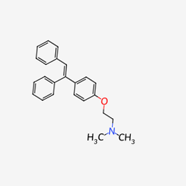 CN(C)CCOc1ccc(C(=Cc2ccccc2)c2ccccc2)cc1